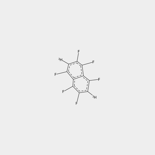 [2H]c1c(F)c(F)c2c(F)c([2H])c(F)c(F)c2c1F